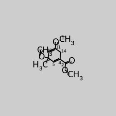 COC(=O)C1=CC(C)(OC)C=C(OC)C1